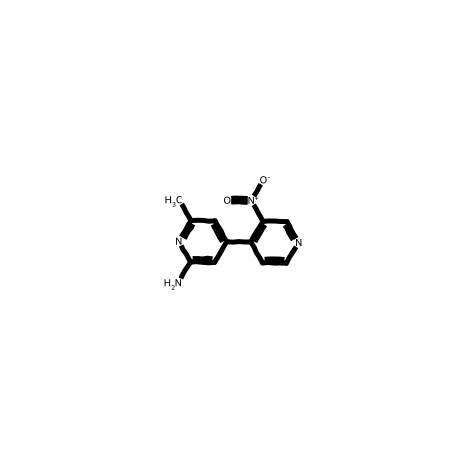 Cc1cc(-c2ccncc2[N+](=O)[O-])cc(N)n1